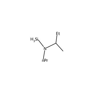 CCCN([SiH3])C(C)CC